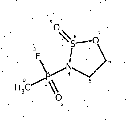 CP(=O)(F)N1CCOS1=O